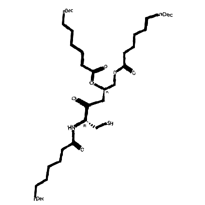 CCCCCCCCCCCCCCCC(=O)N[C@@H](CS)C(=O)[CH][C@H](COC(=O)CCCCCCCCCCCCCCC)OC(=O)CCCCCCCCCCCCCCC